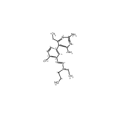 CCc1nc(N)nc(N)c1-c1ccc(Cl)c(N=NN(CC)CCO)c1